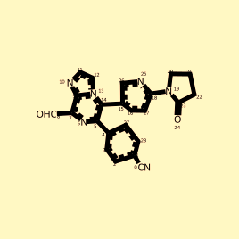 N#Cc1ccc(-c2nc(C=O)c3nccn3c2-c2ccc(N3CCCC3=O)nc2)cc1